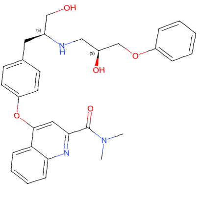 CN(C)C(=O)c1cc(Oc2ccc(C[C@@H](CO)NC[C@H](O)COc3ccccc3)cc2)c2ccccc2n1